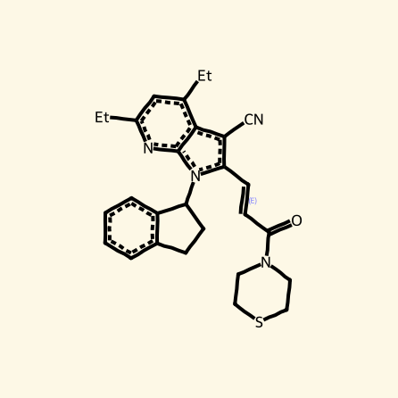 CCc1cc(CC)c2c(C#N)c(/C=C/C(=O)N3CCSCC3)n(C3CCc4ccccc43)c2n1